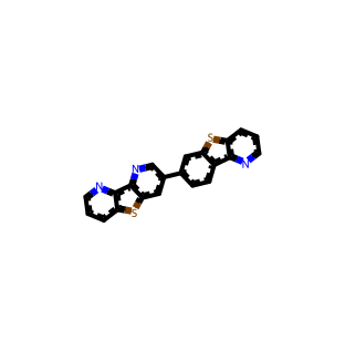 c1cnc2c(c1)sc1cc(-c3cnc4c(c3)sc3cccnc34)ccc12